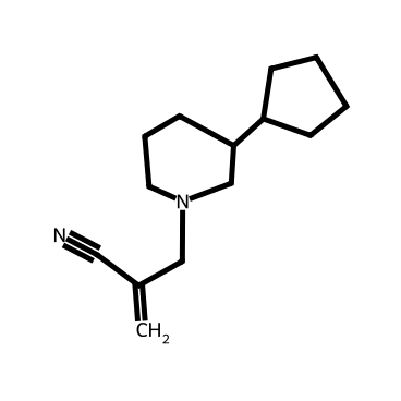 C=C(C#N)CN1CCCC(C2CCCC2)C1